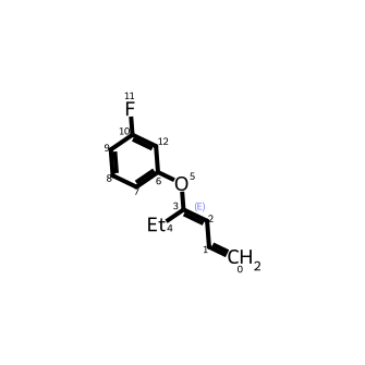 C=C/C=C(\CC)Oc1cccc(F)c1